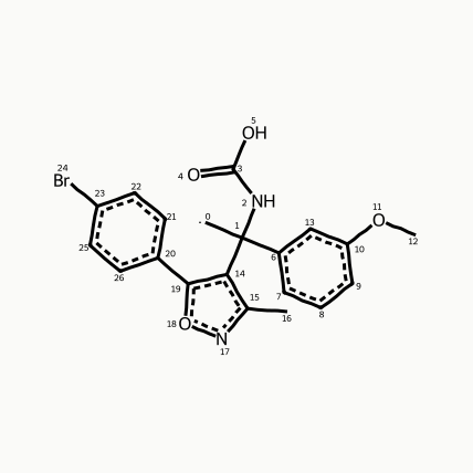 [CH2]C(NC(=O)O)(c1cccc(OC)c1)c1c(C)noc1-c1ccc(Br)cc1